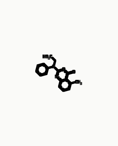 Cc1cccc2nc(N(CC(=O)O)c3ccccc3)oc(=O)c12